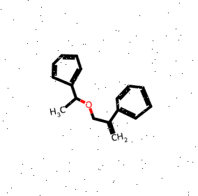 C=C(COC(C)c1ccccc1)c1ccccc1